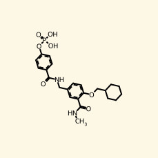 CNC(=O)c1cc(CNC(=O)c2ccc(OP(=O)(O)O)cc2)ccc1OCC1CCCCC1